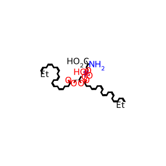 CC/C=C\C/C=C\C/C=C\C/C=C\C/C=C\C/C=C\CCC(=O)OC[C@H](COP(=O)(O)OC[C@H](N)C(=O)O)OC(=O)CC/C=C\C/C=C\C/C=C\C/C=C\C/C=C\C/C=C\CC